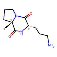 NCCC[C@@H]1NC(=O)[C@@H]2CCCN2C1=O